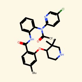 CC(C)(C)c1ccc(C(=O)Nc2ccccc2N(C(=O)C(F)(F)F)c2ccc(Cl)cn2)c(OC2CCNCC2(C)C)c1